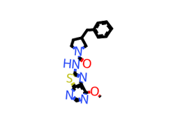 COc1ncnc2sc(NC(=O)N3CCC(Cc4ccccc4)C3)nc12